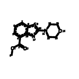 COC(=O)c1cccc2sc(N3CCOCC3)nc12